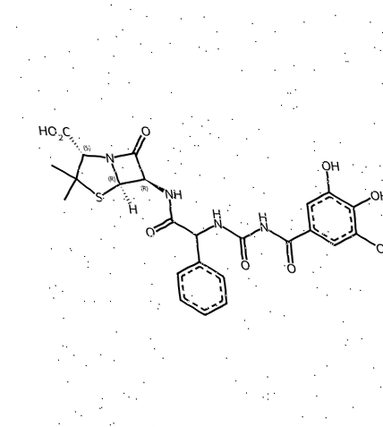 CC1(C)S[C@@H]2[C@H](NC(=O)C(NC(=O)NC(=O)c3cc(O)c(O)c(O)c3)c3ccccc3)C(=O)N2[C@H]1C(=O)O